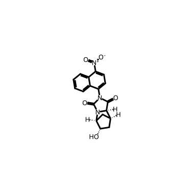 O=C1[C@H]2[C@H]3C[C@H](O)[C@H](C3)N2C(=O)N1c1ccc([N+](=O)[O-])c2ccccc12